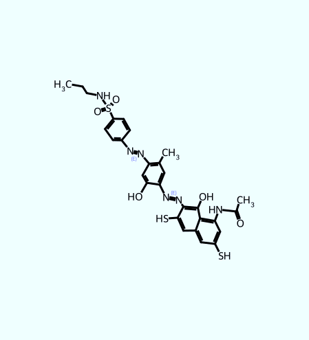 CCCNS(=O)(=O)c1ccc(/N=N/c2cc(O)c(/N=N/c3c(S)cc4cc(S)cc(NC(C)=O)c4c3O)cc2C)cc1